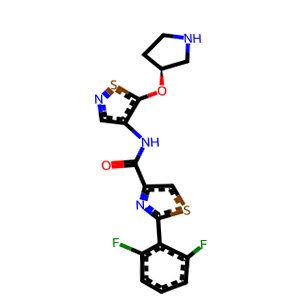 O=C(Nc1cnsc1O[C@H]1CCNC1)c1csc(-c2c(F)cccc2F)n1